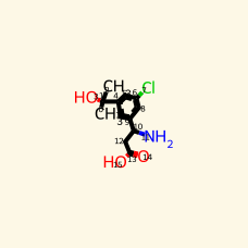 CC(C)(O)c1cc(Cl)cc(C(N)CC(=O)O)c1